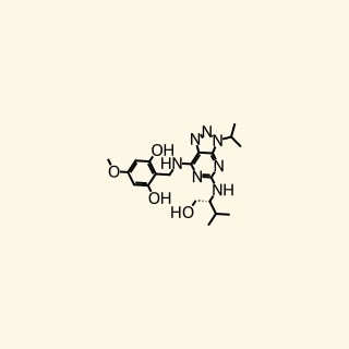 COc1cc(O)c(CNc2nc(N[C@@H](CO)C(C)C)nc3c2nnn3C(C)C)c(O)c1